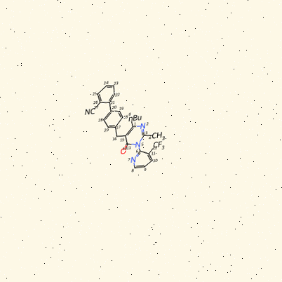 CCCCc1nc(C)n(-c2ncccc2C(F)(F)F)c(=O)c1Cc1ccc(-c2ccccc2C#N)cc1